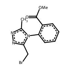 COC(=O)c1ccccc1-n1c(C)nnc1CBr